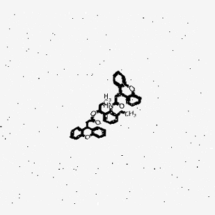 CCc1cccc(C(CC)OC(=O)CC2c3ccccc3Oc3ccccc32)c1NC(=O)CC1c2ccccc2Oc2ccccc21